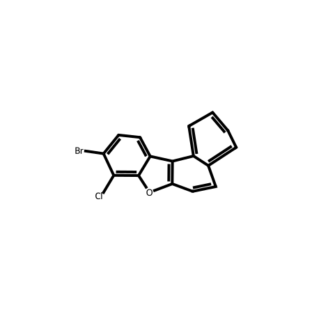 Clc1c(Br)ccc2c1oc1ccc3ccccc3c12